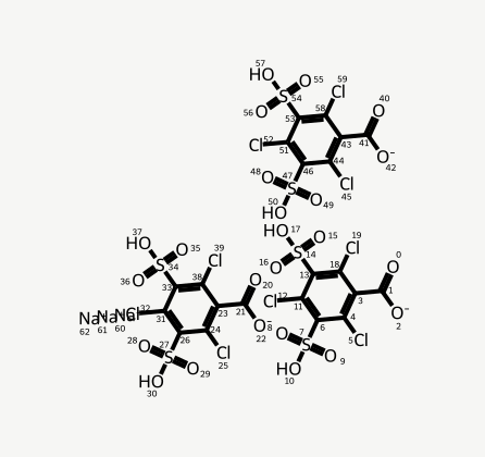 O=C([O-])c1c(Cl)c(S(=O)(=O)O)c(Cl)c(S(=O)(=O)O)c1Cl.O=C([O-])c1c(Cl)c(S(=O)(=O)O)c(Cl)c(S(=O)(=O)O)c1Cl.O=C([O-])c1c(Cl)c(S(=O)(=O)O)c(Cl)c(S(=O)(=O)O)c1Cl.[Na+].[Na+].[Na+]